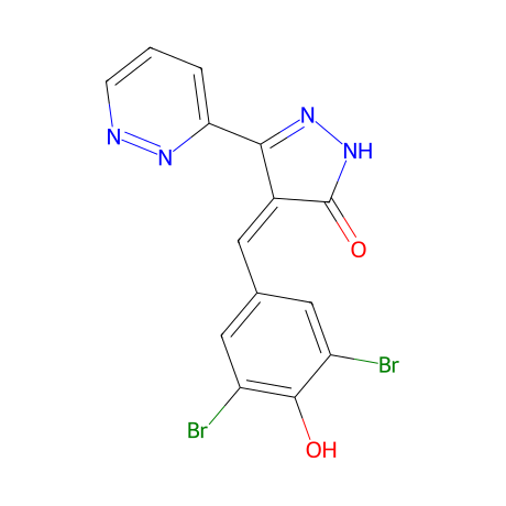 O=C1NN=C(c2cccnn2)C1=Cc1cc(Br)c(O)c(Br)c1